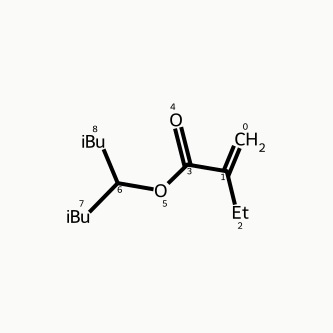 C=C(CC)C(=O)OC(C(C)CC)C(C)CC